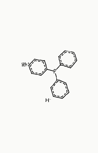 [H-].[Rh+].c1ccc(P(c2ccccc2)c2ccccc2)cc1